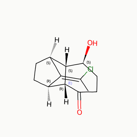 C/C(Cl)=C1/[C@H]2CC[C@@H]1[C@H]1C(=O)CC[C@H](O)[C@H]12